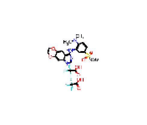 CNS(=O)(=O)c1ccc(N(C)C)c(Nc2ncnc3cc4c(cc23)OCCO4)c1.O=C(O)C(F)(F)F.O=C(O)C(F)(F)F